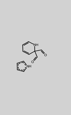 O=CC1(C=O)C=CC=CN1.c1cc[nH]c1